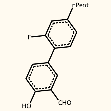 CCCCCc1ccc(-c2ccc(O)c(C=O)c2)c(F)c1